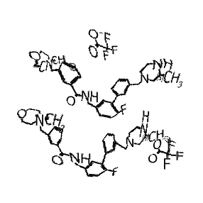 C[C@H]1CN(Cc2cccc(-c3cc(CNC(=O)c4cccc(C[N+]5(C)CCOCC5)c4)ccc3F)c2)CCN1.C[C@H]1CN(Cc2cccc(-c3cc(CNC(=O)c4cccc(C[N+]5(C)CCOCC5)c4)ccc3F)c2)CCN1.O=C([O-])C(F)(F)F.O=C([O-])C(F)(F)F